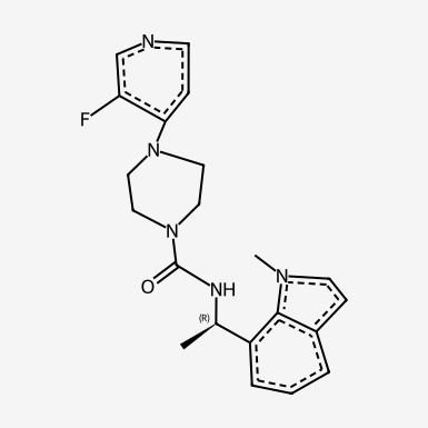 C[C@@H](NC(=O)N1CCN(c2ccncc2F)CC1)c1cccc2ccn(C)c12